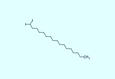 CCCCCCCCCCCCCCCCC(I)I